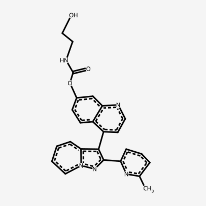 Cc1cccc(-c2nn3ccccc3c2-c2ccnc3cc(OC(=O)NCCO)ccc23)n1